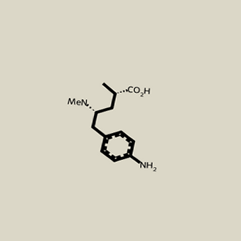 CN[C@@H](Cc1ccc(N)cc1)C[C@H](C)C(=O)O